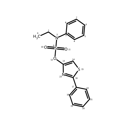 CCN(c1ccccc1)S(=O)(=O)Oc1csc(-c2ccccc2)n1